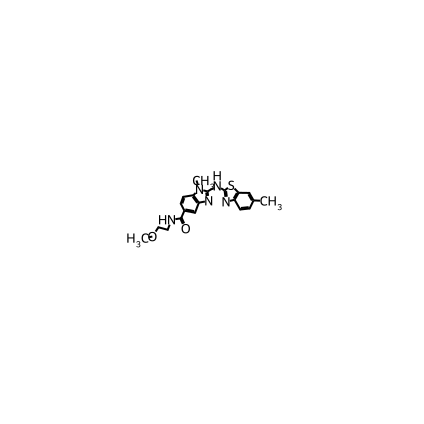 COCCNC(=O)c1ccc2c(c1)nc(Nc1nc3ccc(C)cc3s1)n2C